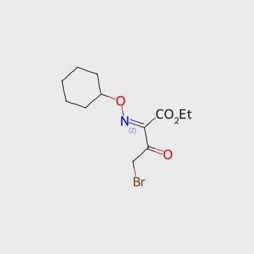 CCOC(=O)/C(=N\OC1CCCCC1)C(=O)CBr